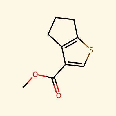 COC(=O)c1csc2c1CCC2